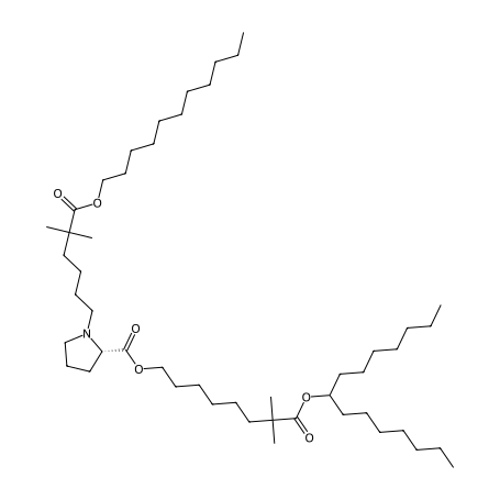 CCCCCCCCCCCOC(=O)C(C)(C)CCCCN1CCC[C@H]1C(=O)OCCCCCCC(C)(C)C(=O)OC(CCCCCCC)CCCCCCC